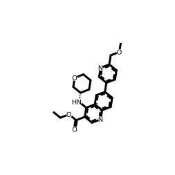 CCOC(=O)c1cnc2ccc(-c3ccc(COC)nc3)cc2c1N[C@H]1CCCOC1